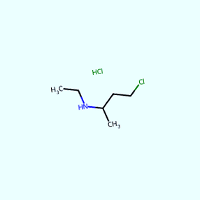 CCNC(C)CCCl.Cl